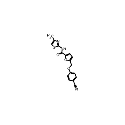 Cc1csc(NC(=O)c2ccc(COc3ccc(C#N)cc3)o2)n1